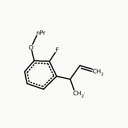 [CH2]C(C=C)c1cccc(OCCC)c1F